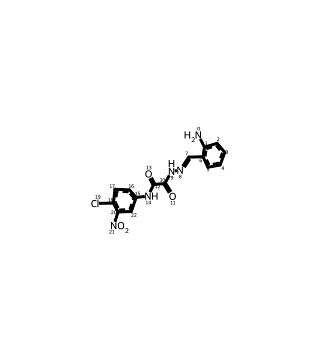 Nc1ccccc1C=NNC(=O)C(=O)Nc1ccc(Cl)c([N+](=O)[O-])c1